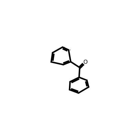 O=C(c1[c][c]ccc1)c1ccccc1